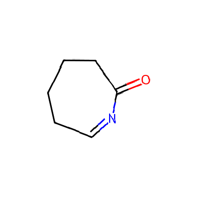 O=C1CCCCC=N1